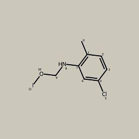 Cc1ccc(Cl)cc1NCOI